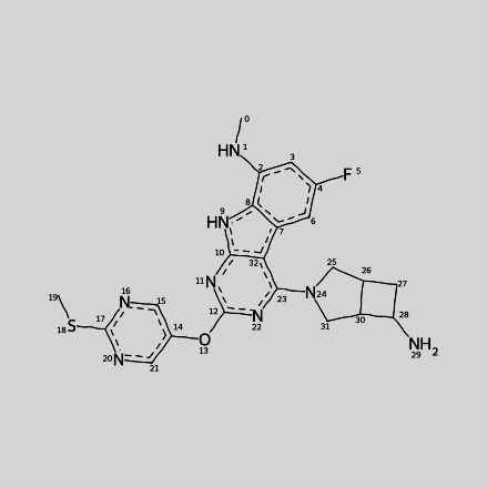 CNc1cc(F)cc2c1[nH]c1nc(Oc3cnc(SC)nc3)nc(N3CC4CC(N)C4C3)c12